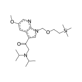 COc1cnc2c(c1)c(C(=O)CN(C(C)C)C(C)C)cn2COCC[Si](C)(C)C